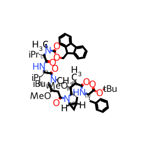 CC[C@H](C)[C@@H]([C@@H](CC(=O)N1[C@H]2C[C@H]2C[C@H]1[C@H](OC)[C@@H](C)C(=O)N[C@@H](Cc1ccccc1)C(=O)OC(C)(C)C)OC)N(C)C(=O)[C@@H](NC(=O)[C@H](C(C)C)N(C)C(=O)OCC1c2ccccc2-c2ccccc21)C(C)C